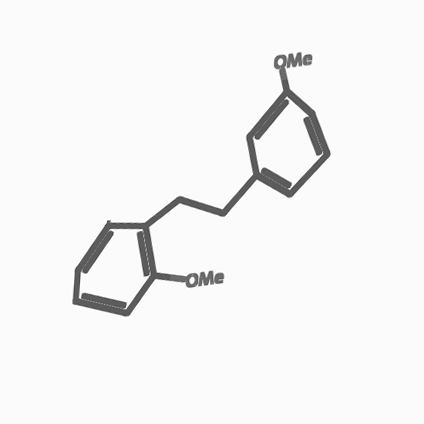 COc1cccc(CCc2[c]cccc2OC)c1